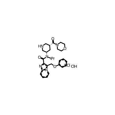 CC(C)N(C(=O)c1nc2ccccn2c1COc1ccccc1)[C@@H]1CNC[C@H](C(=O)N2CCOCC2)C1.Cl.Cl